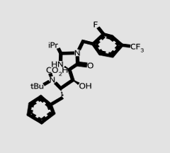 CC(C)C1N[C@@H]([C@@H](O)[C@H](Cc2ccccc2)N(C(=O)O)C(C)(C)C)C(=O)N1Cc1ccc(C(F)(F)F)cc1F